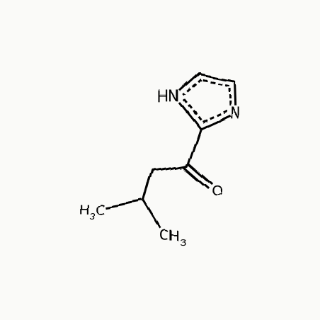 CC(C)CC(=O)c1ncc[nH]1